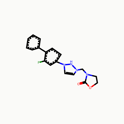 O=C1OCCN1CN1C=CN(c2ccc(-c3ccccc3)c(F)c2)N1